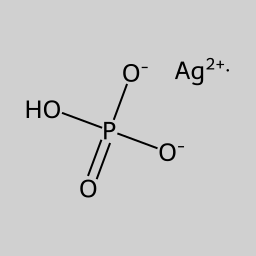 O=P([O-])([O-])O.[Ag+2]